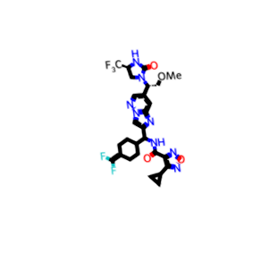 COC[C@H](c1cnn2cc(C(NC(=O)c3nonc3C3CC3)C3CCC(=C(F)F)CC3)nc2c1)N1C[C@@H](C(F)(F)F)NC1=O